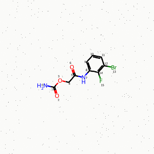 NC(=O)OCC(=O)Nc1cccc(Br)c1F